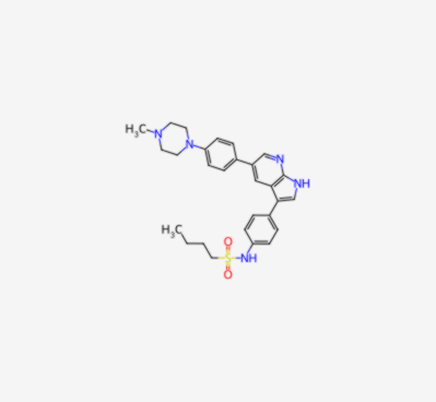 CCCCS(=O)(=O)Nc1ccc(-c2c[nH]c3ncc(-c4ccc(N5CCN(C)CC5)cc4)cc23)cc1